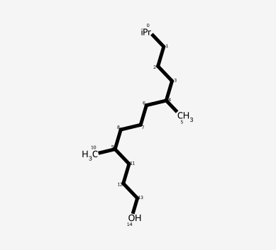 CC(C)CCCC(C)CCCC(C)CCCO